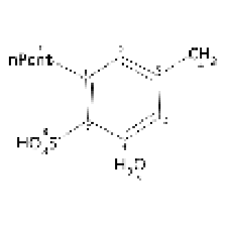 CCCCCc1cc(C)ccc1S(=O)(=O)O.O